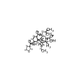 CCCCOc1c(CN(C(=O)O)C(C)(C)C)n(CC(C)C)c(=O)c2ccc(NC(=O)C3CCCC3)cc12